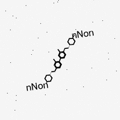 CCCCCCCCC[C@H]1CC[C@H](CCc2ccc(-c3ccc(CC[C@H]4CC[C@H](CCCCCCCCC)CC4)c(C)c3)c(C)c2)CC1